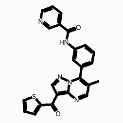 Cc1cnc2c(C(=O)c3cccs3)cnn2c1-c1cccc(NC(=O)c2cccnc2)c1